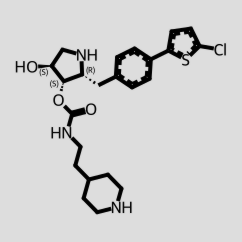 O=C(NCCC1CCNCC1)O[C@@H]1[C@@H](O)CN[C@@H]1Cc1ccc(-c2ccc(Cl)s2)cc1